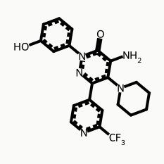 Nc1c(N2CCCCC2)c(-c2ccnc(C(F)(F)F)c2)nn(-c2cccc(O)c2)c1=O